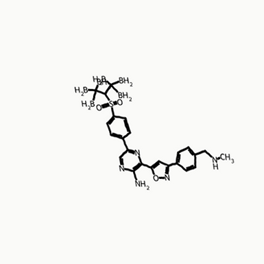 BC(B)(B)C(C(B)(B)B)S(=O)(=O)c1ccc(-c2cnc(N)c(-c3cc(-c4ccc(CNC)cc4)no3)n2)cc1